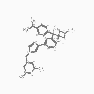 CC1CN(Cn2cnc(-c3cncc([C@@](O)(c4ccc(C(C)C)cc4)C4(C)CN(C)C4)c3)c2)CC(C)O1